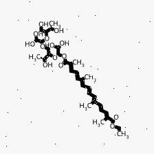 CCOC(=O)/C(C)=C/C=C/C(C)=C/C=C/C=C(C)/C=C/C=C(\C)C(=O)OC(OC(COC(OC(CO)[C@H](C)O)C(O)O)[C@H](C)O)C(O)O